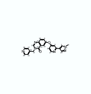 Cn1cc(-c2cc(Oc3ccc4ncn(Cc5ccncc5)c(=O)c4c3)ccn2)cn1